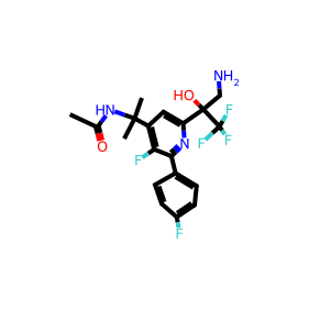 CC(=O)NC(C)(C)c1cc(C(O)(CN)C(F)(F)F)nc(-c2ccc(F)cc2)c1F